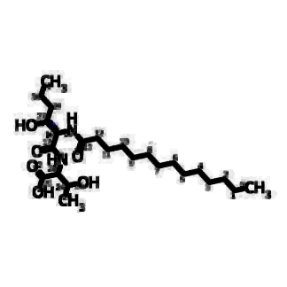 CCCCCCCCCCCCCC(=O)N/C(C(=O)NC(C(=O)O)C(C)O)=C(/O)CCC